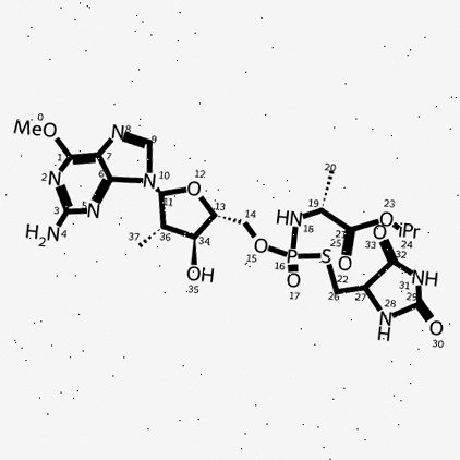 COc1nc(N)nc2c1ncn2[C@@H]1O[C@H](COP(=O)(N[C@H](C)C(=O)OC(C)C)SCC2NC(=O)NC2=O)[C@@H](O)[C@@H]1C